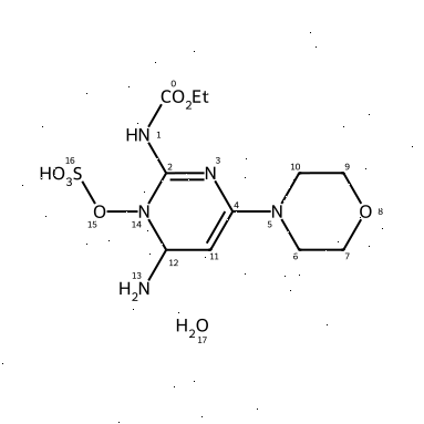 CCOC(=O)NC1=NC(N2CCOCC2)=CC(N)N1OS(=O)(=O)O.O